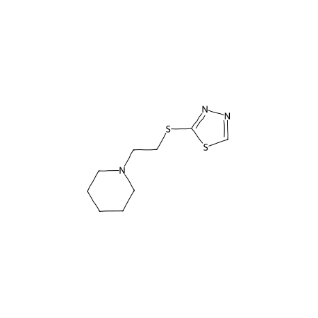 c1nnc(SCCN2CCCCC2)s1